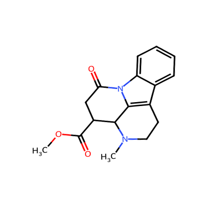 COC(=O)C1CC(=O)n2c3c(c4ccccc42)CCN(C)C31